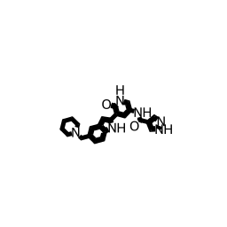 O=C(Nc1c[nH]c(=O)c(-c2cc3cc(CN4CCCCC4)ccc3[nH]2)c1)c1cn[nH]c1